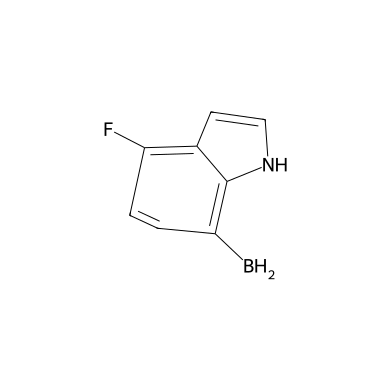 Bc1ccc(F)c2cc[nH]c12